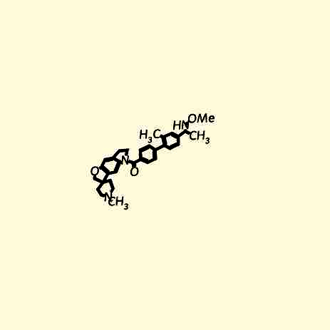 CONC(C)c1ccc(-c2ccc(C(=O)N3CCc4cc5c(cc43)C3(CCN(C)CC3)CO5)cc2)c(C)c1